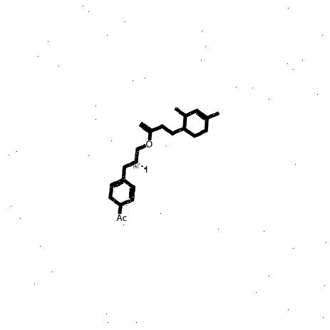 C=C(CCC1CCC(C)=CC1C)OC[C@H](I)CC1=CCC(C(C)=O)C=C1